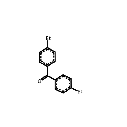 CCc1ccc(C(=O)c2ccc(CC)cc2)cc1